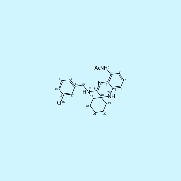 CC(=O)Nc1cccc2c1N=C(NCc1cccc(Cl)c1)C1(CCCCC1)N2